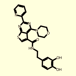 O=C(NCCc1ccc(O)c(O)c1)c1csc2nc(-c3ccccn3)nc(N3CCOCC3)c12